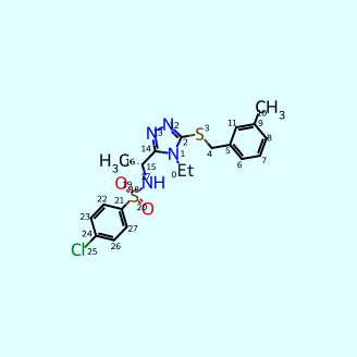 CCn1c(SCc2cccc(C)c2)nnc1[C@@H](C)NS(=O)(=O)c1ccc(Cl)cc1